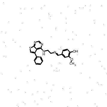 COc1cc(C=NCCNc2ncnc3scc(-c4ccccc4)c23)ccc1O